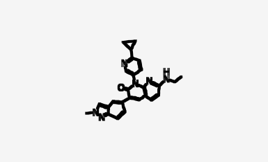 CCNc1ccc2cc(-c3ccc4nn(C)cc4c3)c(=O)n(-c3ccc(C4CC4)nc3)c2n1